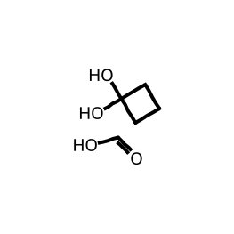 O=CO.OC1(O)CCC1